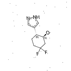 [O][C@H]1CC(F)(F)CC[C@@H]1c1cn[nH]c1